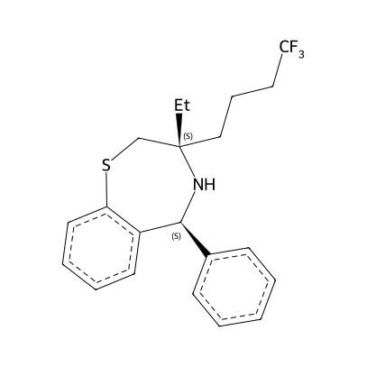 CC[C@]1(CCCC(F)(F)F)CSc2ccccc2[C@H](c2ccccc2)N1